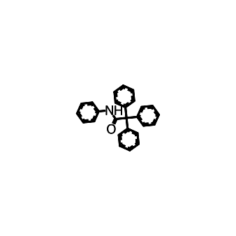 O=C(Nc1ccccc1)C(c1ccccc1)(c1ccccc1)c1ccccc1